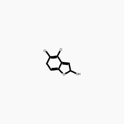 OC1C=C2C(=CCC(Cl)=C2Cl)O1